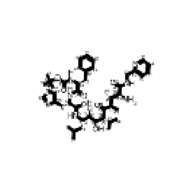 CC(C)C[C@H](NC(=O)[C@H](Cc1c[nH]cn1)NC(=O)[C@H](Cc1ccccc1)NC(=O)OC(C)(C)C)[C@@H](O)[C@H](O)[C@H](C(=O)C(C)[C@H](C)[C@H](N)C(=O)NCc1ccccn1)C(C)C